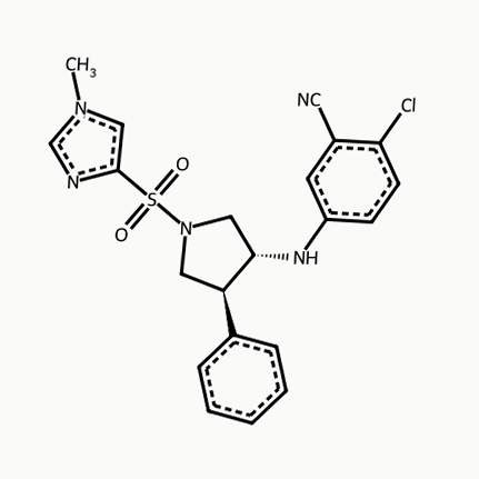 Cn1cnc(S(=O)(=O)N2C[C@H](Nc3ccc(Cl)c(C#N)c3)[C@@H](c3ccccc3)C2)c1